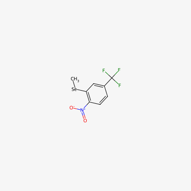 C[Se]c1cc(C(F)(F)F)ccc1[N+](=O)[O-]